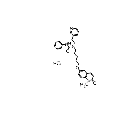 Cl.Cn1c(=O)ccc2cc(OCCCCCN(CCc3cccnc3)C(=O)Nc3ccccc3)ccc21